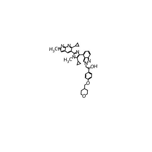 Cn1cc2cc(-c3nc(-c4cccc5nn(C[C@H](O)c6ccc(OCC7CCOCC7)cc6)cc45)c(C4CC4)n3C)c(C3CC3)nc2n1